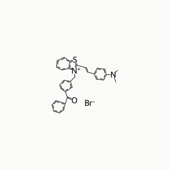 CN(C)c1ccc(/C=C/c2sc3ccccc3[n+]2Cc2cccc(C(=O)c3ccccc3)c2)cc1.[Br-]